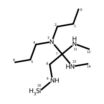 CCCN(CCC)C(CN[SiH3])(NC)NC